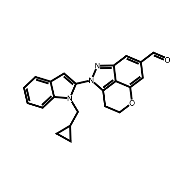 O=Cc1cc2c3c(n(-c4cc5ccccc5n4CC4CC4)nc3c1)CCO2